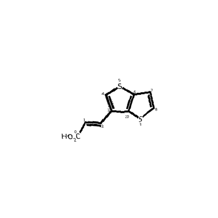 O=C(O)C=Cc1csc2ccsc12